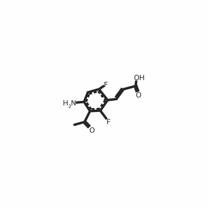 CC(=O)c1c(N)cc(F)c(/C=C/C(=O)O)c1F